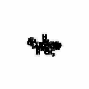 COc1nc(NC2CCC3(CCO3)CC2)nc2[nH]cc(-c3ccc4nncn4c3)c12